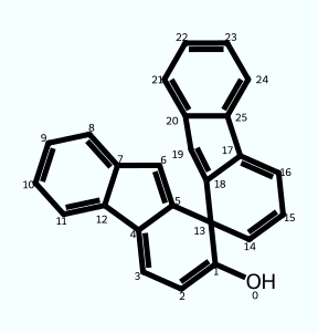 OC1=CC=C2C(=Cc3ccccc32)C12C=CC=C1C2=Cc2ccccc21